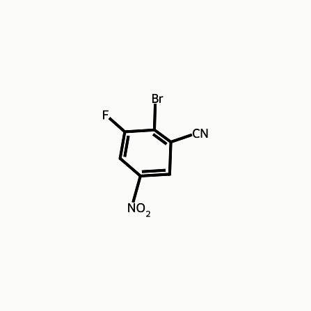 N#Cc1cc([N+](=O)[O-])cc(F)c1Br